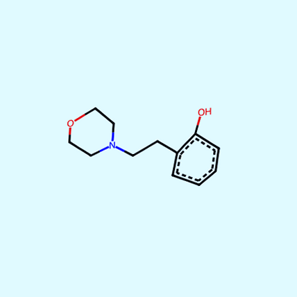 Oc1ccccc1CCN1CCOCC1